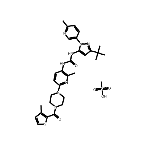 CS(=O)(=O)O.Cc1ccc(-n2nc(C(C)(C)C)cc2NC(=O)Nc2ccc(N3CCN(C(=O)c4sccc4C)CC3)nc2C)cn1